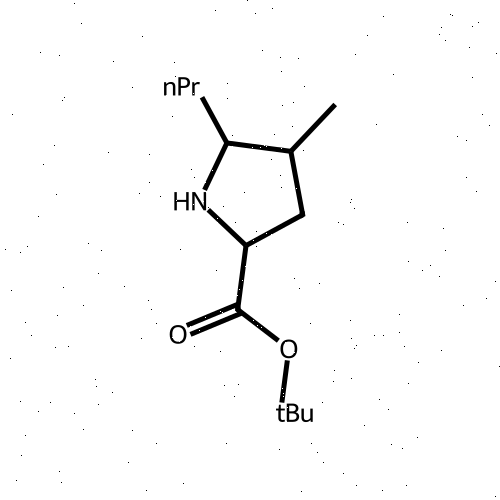 CCCC1NC(C(=O)OC(C)(C)C)CC1C